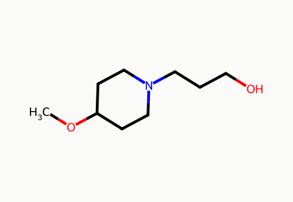 COC1CCN(CCCO)CC1